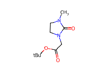 CN1CCN(CC(=O)OC(C)(C)C)C1=O